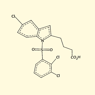 O=C(O)CCCc1cc2cc(Cl)ccc2n1S(=O)(=O)c1cccc(Cl)c1Cl